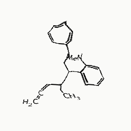 C=C=CC(C)C(CCc1ccccc1)c1ccccc1NC